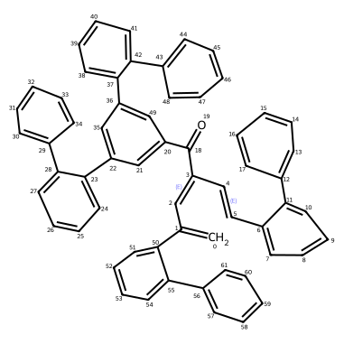 C=C(/C=C(\C=C\c1ccccc1-c1ccccc1)C(=O)c1cc(-c2ccccc2-c2ccccc2)cc(-c2ccccc2-c2ccccc2)c1)c1ccccc1-c1ccccc1